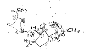 C=C1CCC2[C@]3(C)CO[C@@H](C)O[C@@H]3CC[C@@]2(C)[C@@H]1CCN1CCC(CO)C1